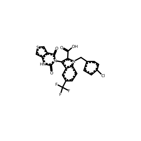 O=C(O)c1c(-n2c(=O)[nH]c3cscc3c2=O)c2cc(C(F)(F)F)ccc2n1Cc1ccc(Cl)cc1